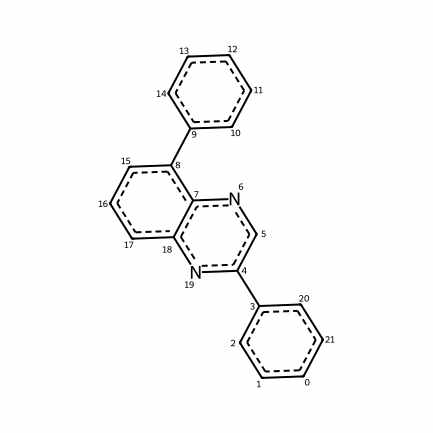 c1ccc(-c2cnc3c(-c4ccccc4)cccc3n2)cc1